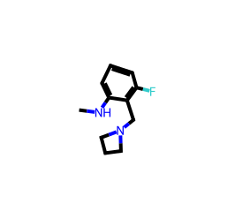 CNc1cccc(F)c1CN1CCC1